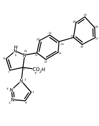 O=C(O)C1(n2ccnn2)C=CNN1c1ccc(-c2ccccc2)cc1